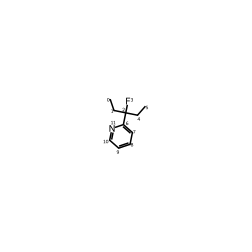 CCC(F)(CC)c1ccccn1